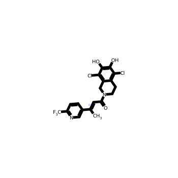 C/C(=C\C(=O)N1CCc2c(Cl)c(O)c(O)c(Cl)c2C1)c1ccc(C(F)(F)F)nc1